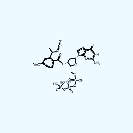 COc1ccc(C(=O)O[C@@H]2C[C@H](n3cnc4c(=O)[nH]c(N)nc43)O[C@@H]2COP(=O)(O)OP(=O)(O)OP(=O)(O)O)c(C(C)N=[N+]=[N-])c1